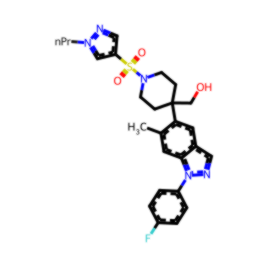 CCCn1cc(S(=O)(=O)N2CCC(CO)(c3cc4cnn(-c5ccc(F)cc5)c4cc3C)CC2)cn1